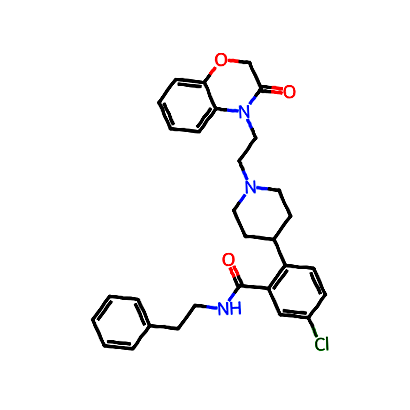 O=C(NCCc1ccccc1)c1cc(Cl)ccc1C1CCN(CCN2C(=O)COc3ccccc32)CC1